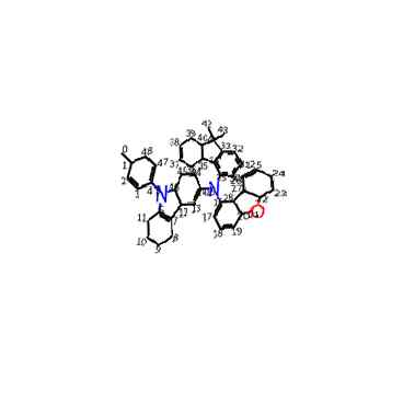 CC1C=CC(N2C3=C(CCCC3)C3C=C(N(C4=CC=CC5OC6CCC=CC6C45)c4cccc5c4C4CC=CCC4C5(C)C)CCC32)=CC1